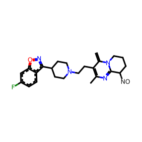 C=C1C(CCN2CCC(c3noc4cc(F)ccc34)CC2)=C(C)N=C2C(N=O)CCCN12